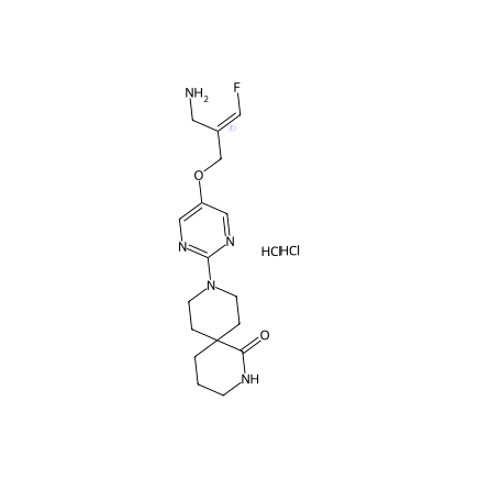 Cl.Cl.NC/C(=C\F)COc1cnc(N2CCC3(CCCNC3=O)CC2)nc1